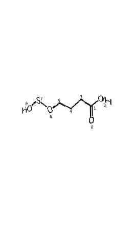 O=C(O)CCCOSO